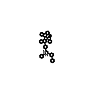 c1ccc(-c2cccc(-c3cc(-c4ccc(-c5cc6c(c7ccccc57)-c5c(c7ccccc7c7ccccc57)C65c6ccccc6-c6ccccc65)cc4)nc(-c4ccccc4)n3)c2)cc1